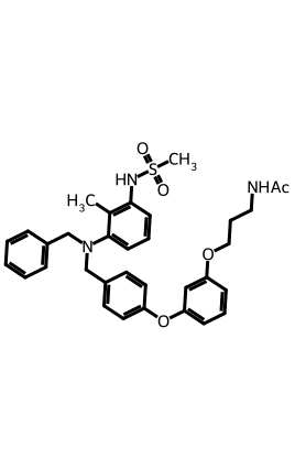 CC(=O)NCCCOc1cccc(Oc2ccc(CN(Cc3ccccc3)c3cccc(NS(C)(=O)=O)c3C)cc2)c1